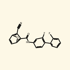 N#Cc1c(C(=O)Nc2ccc(-c3ccccc3F)c(F)c2)c2ccc1o2